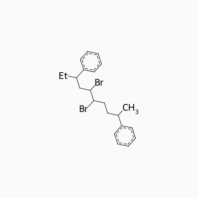 CCC(CC(Br)C(Br)CCC(C)c1ccccc1)c1ccccc1